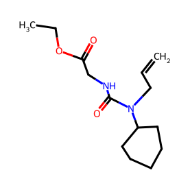 C=CCN(C(=O)NCC(=O)OCC)C1CCCCC1